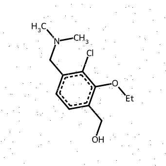 CCOc1c(CO)ccc(CN(C)C)c1Cl